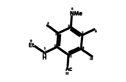 CCNc1c(C)c(NC)c(C)c(C)c1C(C)=O